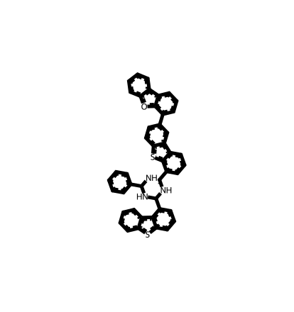 NC(NC(NCc1cccc2c1sc1ccc(-c3cccc4c3oc3ccccc34)cc12)c1cccc2sc3ccccc3c12)c1ccccc1